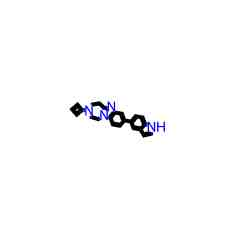 C1=CC(N2CCc3nc4cc(-c5ccc6[nH]ccc6c5)ccc4n3CC2)=C1